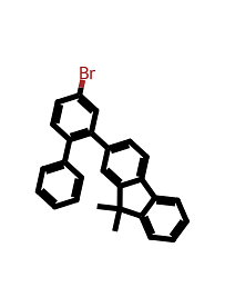 CC1(C)c2ccccc2-c2ccc(-c3cc(Br)ccc3-c3ccccc3)cc21